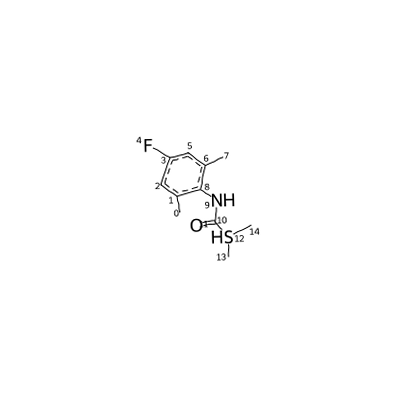 Cc1cc(F)cc(C)c1NC(=O)[SH](C)C